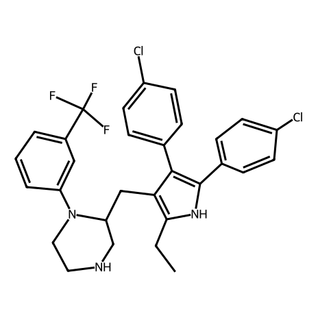 CCc1[nH]c(-c2ccc(Cl)cc2)c(-c2ccc(Cl)cc2)c1CC1CNCCN1c1cccc(C(F)(F)F)c1